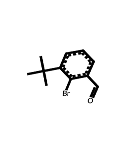 CC(C)(C)c1cccc(C=O)c1Br